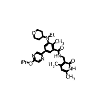 CCN(c1cc(-c2cnc(OC(C)C)cn2)cc(C(=O)NCc2c(C)cc(C)[nH]c2=O)c1C)C1CCOCC1